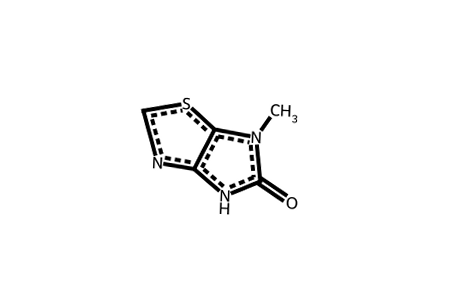 Cn1c(=O)[nH]c2ncsc21